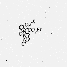 C=C(C)CCC(=O)C(C(=O)OCC)C1c2ccccc2C(=O)N1c1ccc2ccc(Cl)nc2n1